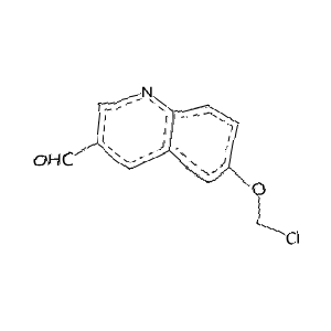 O=Cc1cnc2ccc(OCCl)cc2c1